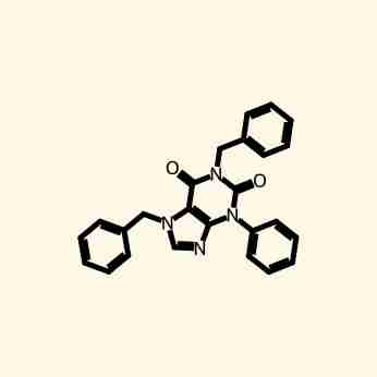 O=c1c2c(ncn2Cc2ccccc2)n(-c2ccccc2)c(=O)n1Cc1ccccc1